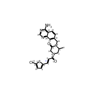 CC1CN(C(=O)/C=C/c2ccc(Cl)s2)CC(=O)N1Cc1ccc2c(N)ncnc2c1